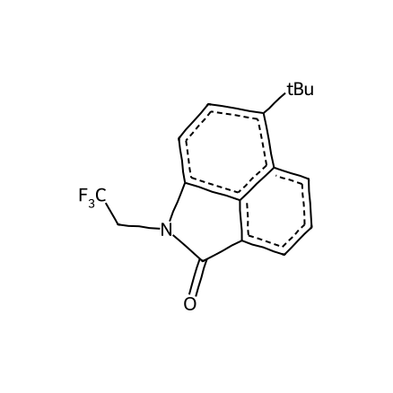 CC(C)(C)c1ccc2c3c(cccc13)C(=O)N2CC(F)(F)F